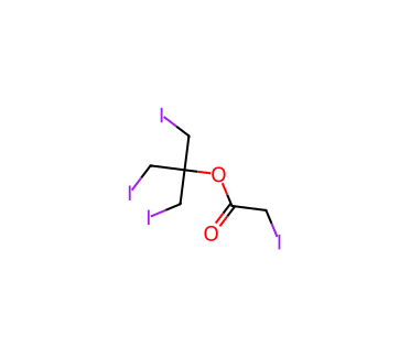 O=C(CI)OC(CI)(CI)CI